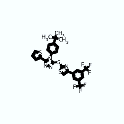 CC(C)(C)c1ccc(-n2c(Sc3nc(-c4cc(C(F)(F)F)cc(C(F)(F)F)c4)cs3)nnc2-c2cccs2)cc1